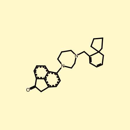 O=C1Cc2ccc(N3CCCN(CC4=CC=CCC45CCCC5)CC3)c3cccc1c23